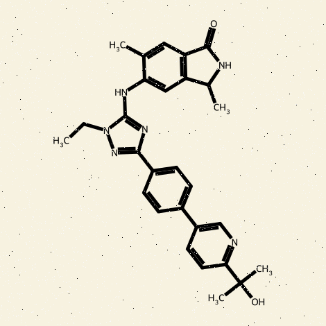 CCn1nc(-c2ccc(-c3ccc(C(C)(C)O)nc3)cc2)nc1Nc1cc2c(cc1C)C(=O)NC2C